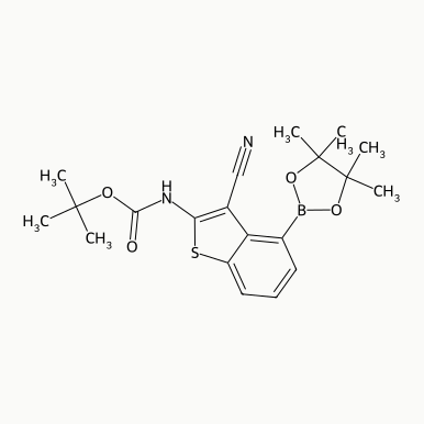 CC(C)(C)OC(=O)Nc1sc2cccc(B3OC(C)(C)C(C)(C)O3)c2c1C#N